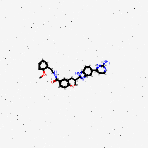 COc1ccccc1CCNC(=O)c1ccc2c(c1)CC(c1nc3cc(-c4ccnc(N)n4)ccc3[nH]1)CO2